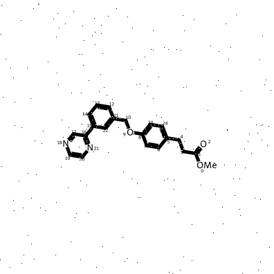 COC(=O)CCc1ccc(OCc2cccc(-c3cnccn3)c2)cc1